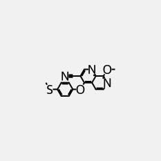 COc1nccc2c(Oc3ccc(SC)cc3)c(C#N)cnc12